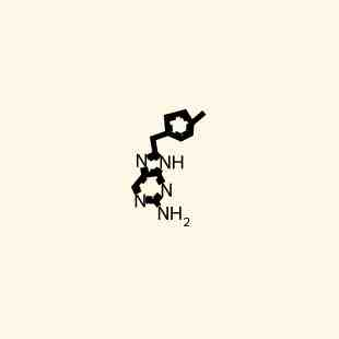 Cc1ccc(Cc2nc3cnc(N)nc3[nH]2)cc1